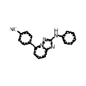 N#Cc1ccc(-c2cccc3nc(Nc4ccccc4)nn23)cc1